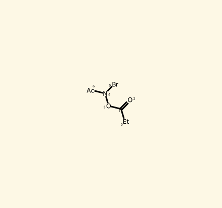 CCC(=O)ON(Br)C(C)=O